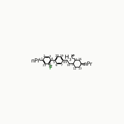 CCCc1ccc(-c2ccc(CCC3CCC(CCC)CC3C)cc2)c(F)c1